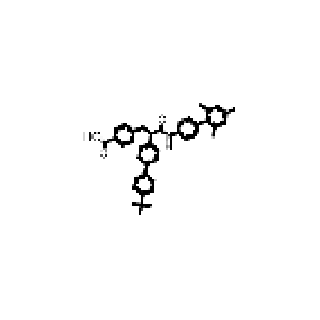 Cc1cc(C)c(-c2ccc(NC(=O)C(Cc3ccc(C(=O)O)cc3)c3ccc(-c4ccc(C(C)(C)C)cc4)cc3)cc2)c(C)c1